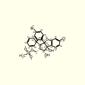 CC1([C@@H]2[C@@H](COS(C)(=O)=O)[C@@H](O)[C@@]3(O)c4ncc(Cl)cc4O[C@@]23c2ccc(Br)cc2)C=CC=CC1